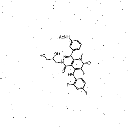 CC(=O)Nc1cccc(-c2nn(CC(O)CO)c(=O)c3c(Nc4ccc(I)cc4F)c(F)c(=O)n(C)c23)c1